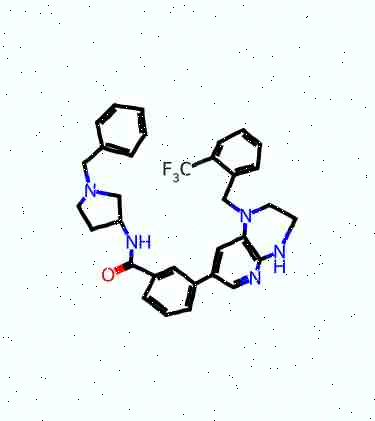 O=C(NC1CCN(Cc2ccccc2)C1)c1cccc(-c2cnc3c(c2)N(Cc2ccccc2C(F)(F)F)CCN3)c1